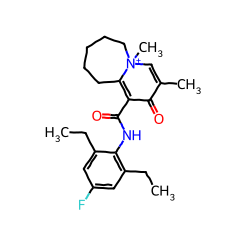 CCc1cc(F)cc(CC)c1NC(=O)C1=C2CCCCC[N+]2(C)C=C(C)C1=O